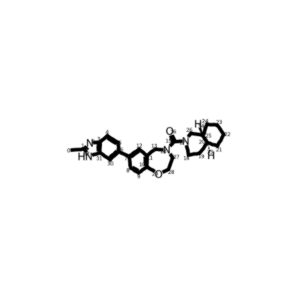 Cc1nc2ccc(-c3ccc4c(c3)CN(C(=O)N3CC[C@@H]5CCCC[C@H]5C3)CCO4)cc2[nH]1